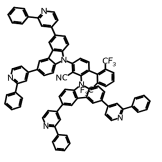 N#Cc1c(-n2c3ccc(-c4ccnc(-c5ccccc5)c4)cc3c3cc(-c4ccnc(-c5ccccc5)c4)ccc32)ccc(-c2c(C(F)(F)F)cccc2C(F)(F)F)c1-n1c2ccc(-c3ccnc(-c4ccccc4)c3)cc2c2cc(-c3ccnc(-c4ccccc4)c3)ccc21